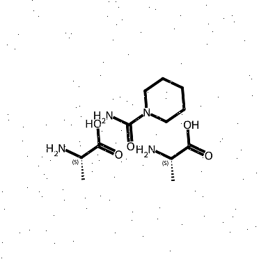 C[C@H](N)C(=O)O.C[C@H](N)C(=O)O.NC(=O)N1CCCCC1